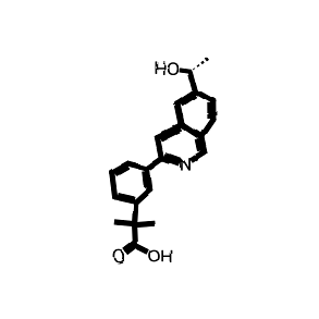 C[C@@H](O)c1ccc2cnc(-c3cccc(C(C)(C)C(=O)O)c3)cc2c1